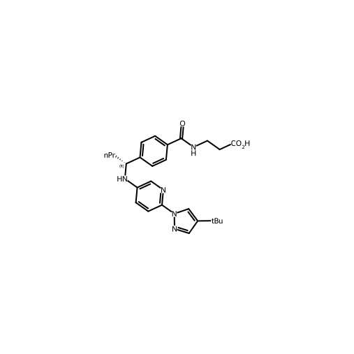 CCC[C@@H](Nc1ccc(-n2cc(C(C)(C)C)cn2)nc1)c1ccc(C(=O)NCCC(=O)O)cc1